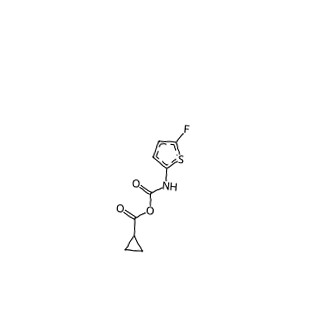 O=C(Nc1ccc(F)s1)OC(=O)C1CC1